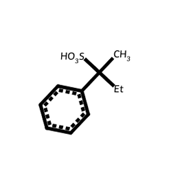 CCC(C)(c1ccccc1)S(=O)(=O)O